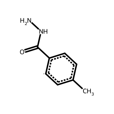 Cc1c[c]c(C(=O)NN)cc1